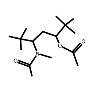 CC(=O)OC(CC(N(C)C(C)=O)C(C)(C)C)C(C)(C)C